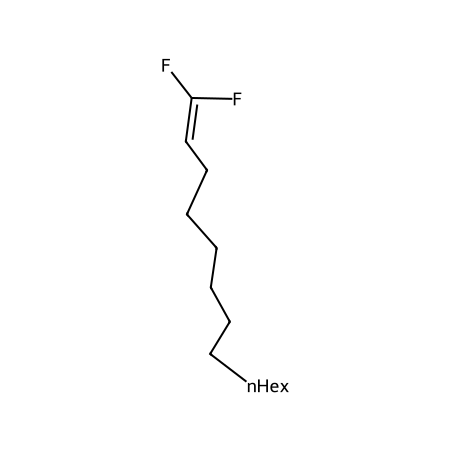 CCCCCCCCCCCCC=C(F)F